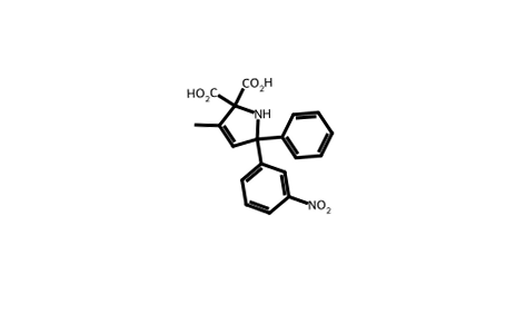 CC1=CC(c2ccccc2)(c2cccc([N+](=O)[O-])c2)NC1(C(=O)O)C(=O)O